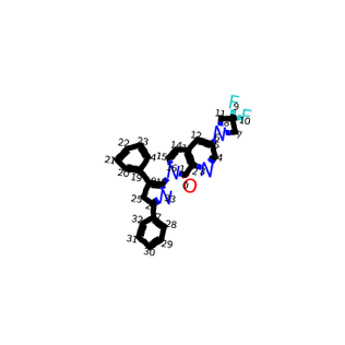 O=c1c2ncc(N3CC(F)(F)C3)cc2ccn1C1=C(c2ccccc2)CC(c2ccccc2)=N1